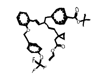 CCOC(=O)CC1(CCC(C=Cc2ccccc2OCc2ccc(OC(F)(F)F)cc2)Cc2ccc(C(=O)OC(C)(C)C)cc2)CC1